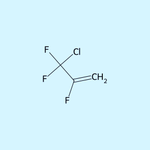 C=C(F)C(F)(F)Cl